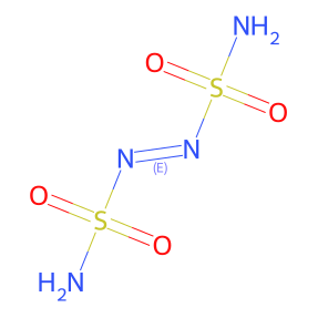 NS(=O)(=O)/N=N/S(N)(=O)=O